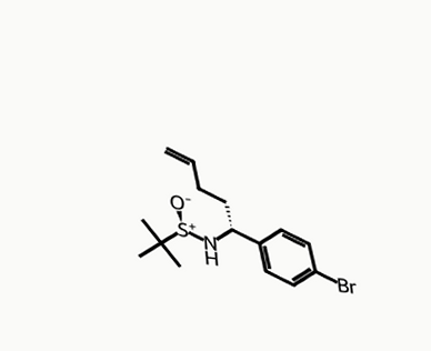 C=CCC[C@@H](N[S@+]([O-])C(C)(C)C)c1ccc(Br)cc1